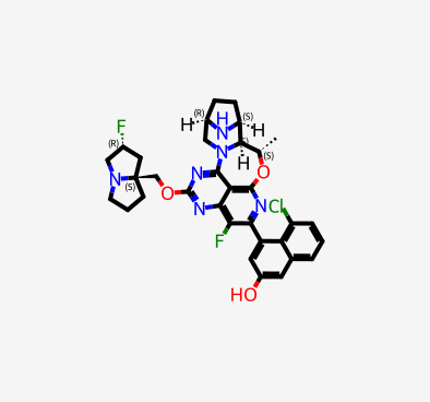 C[C@@H]1Oc2nc(-c3cc(O)cc4cccc(Cl)c34)c(F)c3nc(OC[C@@]45CCCN4C[C@H](F)C5)nc(c23)N2C[C@H]3CC[C@H](N3)[C@@H]12